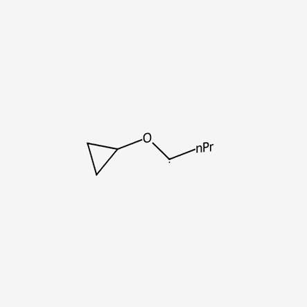 CCC[CH]OC1CC1